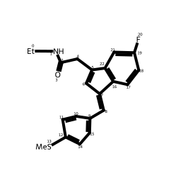 CCNC(=O)CC1=C/C(=C\c2ccc(SC)cc2)c2ccc(F)cc21